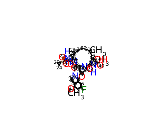 COc1cc(F)cc2c(O[C@@H]3C[C@H]4C(=O)N[C@]5(C(=O)NS(=O)(=O)C6CC6)C[C@H]5C=CCC[C@H](C)C[C@@H](C)[C@H](NC(=O)O)C(=O)N4C3)nccc12